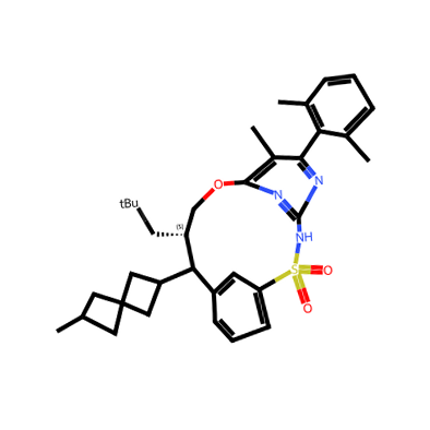 Cc1cccc(C)c1-c1nc2nc(c1C)OC[C@@H](CC(C)(C)C)C(C1CC3(CC(C)C3)C1)c1cccc(c1)S(=O)(=O)N2